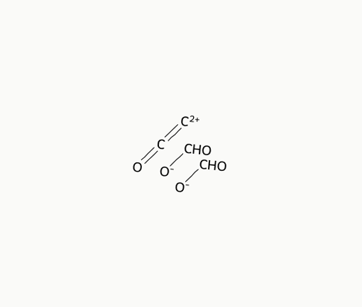 O=C[O-].O=C[O-].[C+2]=C=O